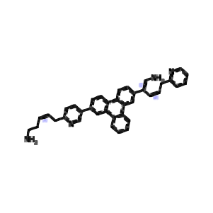 N/C=C(\C=C/Cc1ccccn1)c1ccc2c3ccc(-c4ccc(C/C=C\CCN)nc4)cc3c3ccccc3c2c1